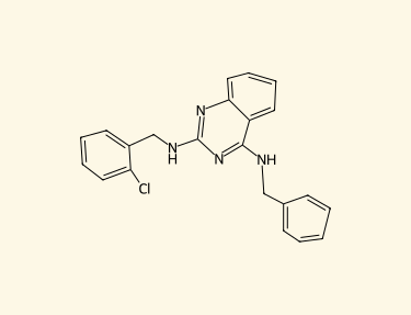 Clc1ccccc1CNc1nc(NCc2ccccc2)c2ccccc2n1